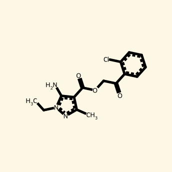 CCn1nc(C)c(C(=O)OCC(=O)c2ccccc2Cl)c1N